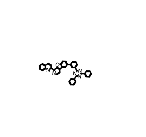 c1ccc(-c2nc(-c3ccccc3)nc(-c3cccc(-c4ccc5oc6c(-c7ccc8ccccc8n7)nccc6c5c4)c3)n2)cc1